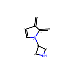 C=c1ccn(C2CNC2)c1=C